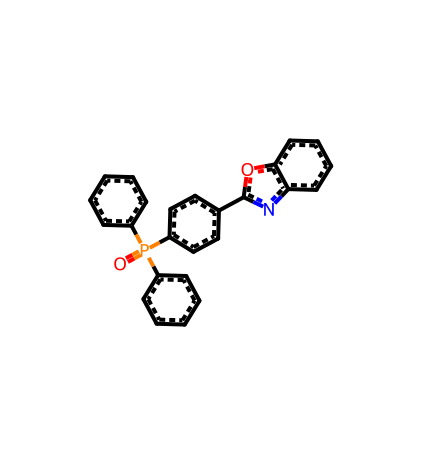 O=P(c1ccccc1)(c1ccccc1)c1ccc(-c2nc3ccccc3o2)cc1